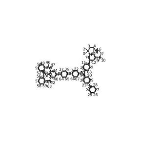 CC1(C)CCN2CCC(C)(C)c3cc(-c4ccc(N(c5ccc(-c6ccccc6)cc5)c5ccc(-c6ccc(-c7cc8c9c(c7)C(C)(C)c7ccccc7N9c7ccccc7C8(C)C)cc6)cc5)cc4)cc1c32